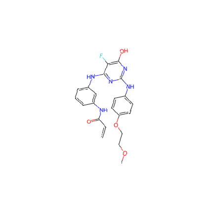 C=CC(=O)Nc1cccc(Nc2nc(Nc3ccc(OCCOC)cc3)nc(O)c2F)c1